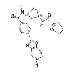 CN(C(=O)c1ccc(-c2nc3cc(Cl)ccc3o2)cc1)[C@@H]1CC[C@H](NC(=O)[C@@H]2CCCO2)C1